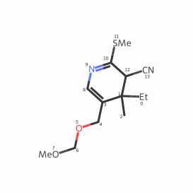 CCC1(C)C(COCOC)=CN=C(SC)C1C#N